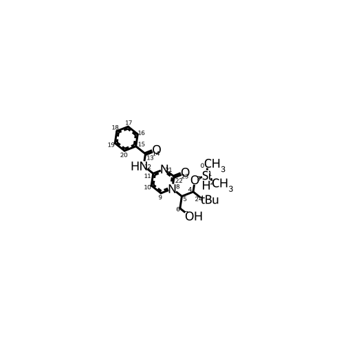 C[SiH](C)OC(C(CO)n1ccc(NC(=O)c2ccccc2)nc1=O)C(C)(C)C